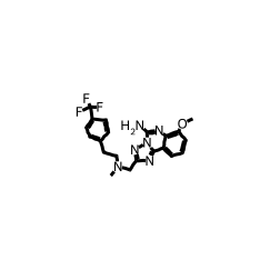 COc1cccc2c1nc(N)n1nc(CN(C)CCc3ccc(C(F)(F)F)cc3)nc21